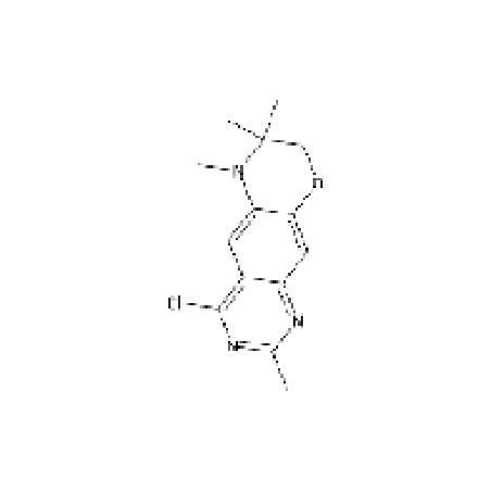 Cc1nc(Cl)c2cc3c(cc2n1)OCC(C)(C)N3C